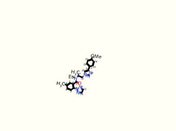 CCN(C(=O)c1cc(C)ccc1-n1nccn1)[C@@H](C)Cn1cc(-c2ccc(OC)cc2)nn1